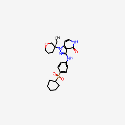 N#CC[C@@]1(n2nc(Nc3ccc(S(=O)(=O)C4CCCCC4)cc3)c3c(=O)[nH]ccc32)CCCOC1